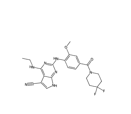 CCNc1nc(Nc2ccc(C(=O)N3CCC(F)(F)CC3)cc2OC)nc2[nH]cc(C#N)c12